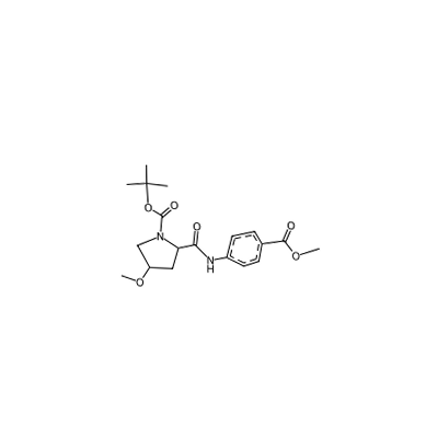 COC(=O)c1ccc(NC(=O)C2CC(OC)CN2C(=O)OC(C)(C)C)cc1